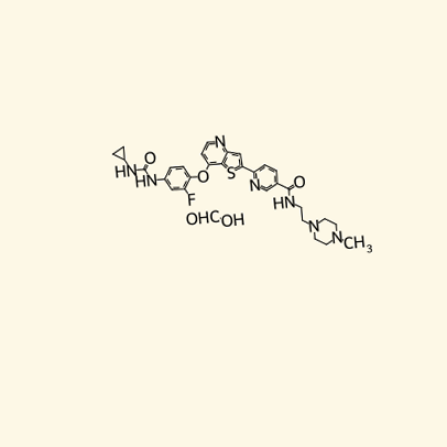 CN1CCN(CCNC(=O)c2ccc(-c3cc4nccc(Oc5ccc(NC(=O)NC6CC6)cc5F)c4s3)nc2)CC1.O=CO